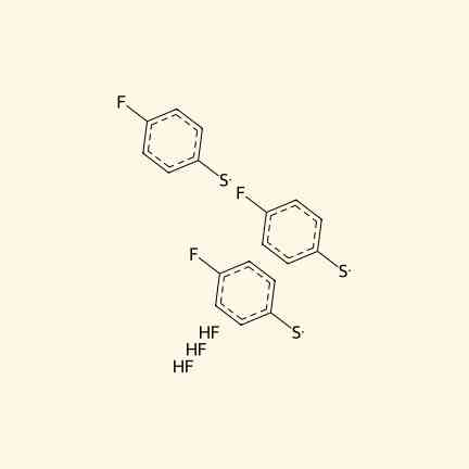 F.F.F.Fc1ccc([S])cc1.Fc1ccc([S])cc1.Fc1ccc([S])cc1